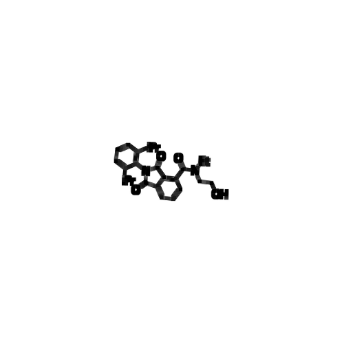 CCN(CCO)C(=O)c1cccc2c1C(=O)N(c1c(C(C)C)cccc1C(C)C)C2=O